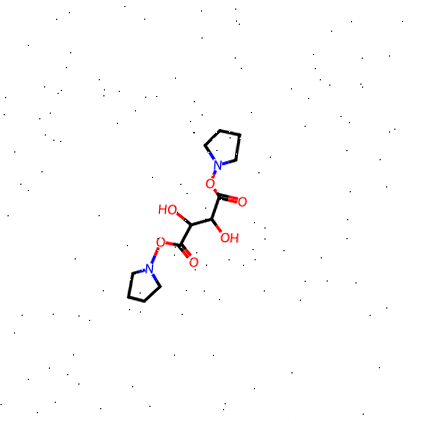 O=C(ON1CCCC1)C(O)C(O)C(=O)ON1CCCC1